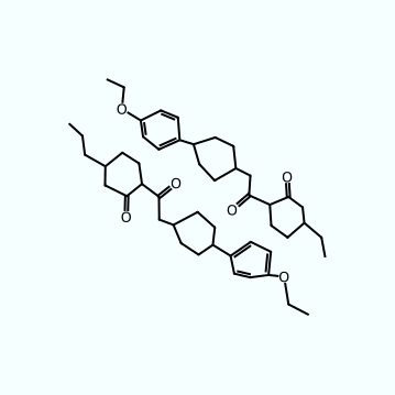 CCCC1CCC(C(=O)CC2CCC(c3ccc(OCC)cc3)CC2)C(=O)C1.CCOc1ccc(C2CCC(CC(=O)C3CCC(CC)CC3=O)CC2)cc1